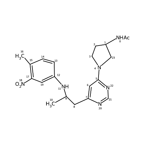 CC(=O)NC1CCN(c2cc(CC(C)Nc3ccc(C)c([N+](=O)[O-])c3)ncn2)C1